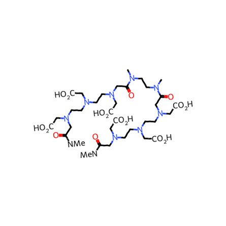 CNC(=O)CN(CCN(CCN(CC(=O)O)CC(=O)N(C)CCN(C)C(=O)CN(CCN(CCN(CC(=O)O)CC(=O)NC)CC(=O)O)CC(=O)O)CC(=O)O)CC(=O)O